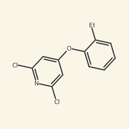 CCc1ccccc1Oc1cc(Cl)nc(Cl)c1